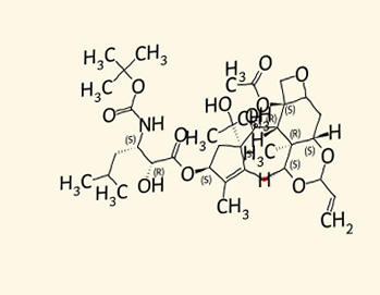 C=CC1O[C@H]2CC3=C(C)[C@@H](OC(=O)[C@H](O)[C@H](CC(C)C)NC(=O)OC(C)(C)C)C[C@@]3(C(C)(C)O)[C@@H](O)[C@H]3[C@@]2(C)[C@H](CC2OC[C@]23OC(C)=O)O1